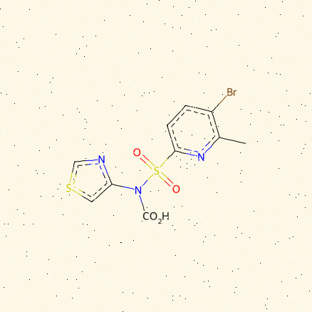 Cc1nc(S(=O)(=O)N(C(=O)O)c2cscn2)ccc1Br